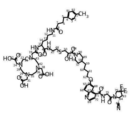 Cc1ccc(CCCC(=O)NCCCCC(NC(=O)CN2CCN(CC(=O)O)CCN(CC(=O)O)CCN(CC(=O)O)CC2)C(=O)NCCSCC(O)C(=O)N2CCC(CCCCOc3ccc4nccc(C(=O)NCC(=O)N5CC(F)(F)C[C@@H]5C#N)c4c3)CC2)cc1